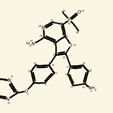 Cc1ccnc(Oc2ccc(-c3c(-c4ccc(N)cc4)sc4c(P(C)(C)=O)cnc(N)c34)cc2)n1